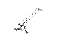 CCCCCCCCCCCCCCCCCCNc1cc(OCCC)nc(N)[n+]1[O-]